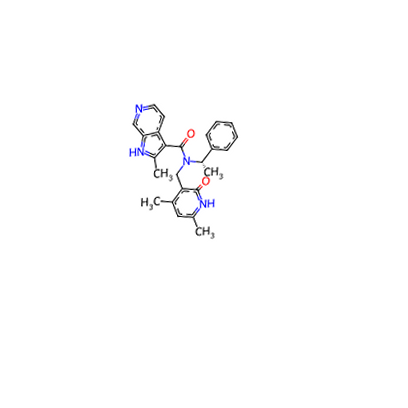 Cc1cc(C)c(CN(C(=O)c2c(C)[nH]c3cnccc23)[C@@H](C)c2ccccc2)c(=O)[nH]1